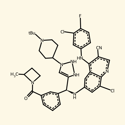 CC1CCN1C(=O)c1cccc([C@H](Nc2cc(Cl)c3ncc(C#N)c(Nc4ccc(F)c(Cl)c4)c3c2)C2=CN(C3CCN(C(C)(C)C)CC3)NN2)c1